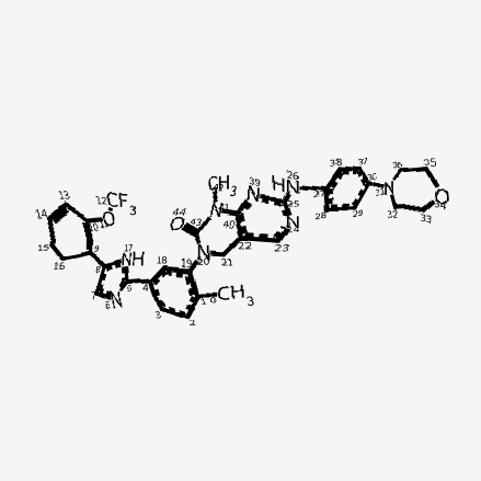 Cc1ccc(-c2ncc(C3=C(OC(F)(F)F)C=CCC3)[nH]2)cc1N1Cc2cnc(Nc3ccc(N4CCOCC4)cc3)nc2N(C)C1=O